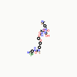 Cc1ncsc1-c1ccc(CNC(=O)[C@@H]2C[C@@H](O)CN2C(=O)[C@@H](NC(=O)COc2cccc(Oc3ccc(-c4ccc(N(C=S)C(C)(C)C(=O)Nc5ccc(C#N)c(C(F)(F)F)c5)cc4)cc3)c2)C(C)(C)C)cc1